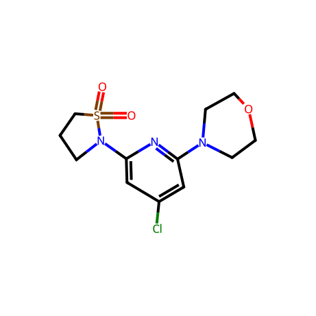 O=S1(=O)CCCN1c1cc(Cl)cc(N2CCOCC2)n1